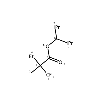 CCC(C)(C(=O)OC(C(C)C)C(C)C)C(F)(F)F